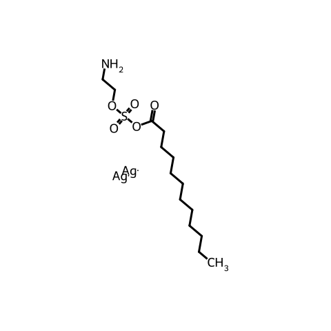 CCCCCCCCCCCC(=O)OS(=O)(=O)OCCN.[Ag].[Ag]